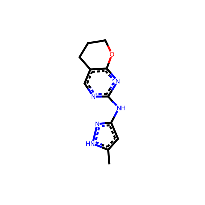 Cc1cc(Nc2ncc3c(n2)OCCC3)n[nH]1